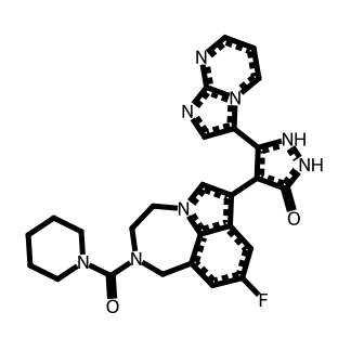 O=C(N1CCCCC1)N1CCn2cc(-c3c(-c4cnc5ncccn45)[nH][nH]c3=O)c3cc(F)cc(c32)C1